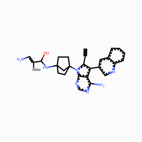 C#Cc1c(-c2cnc3ccccc3c2)c2c(N)ncnc2n1C12CCC(NC(O)/C(=C/N)NC)(CC1)C2